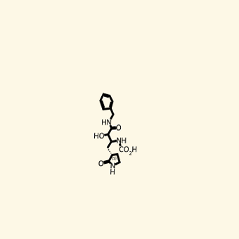 O=C(O)NC(C[C@@H]1CCNC1=O)C(O)C(=O)NCc1ccccc1